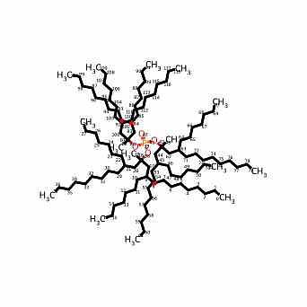 CCCCCCCCCC(CCCCCCC)CC(C)(CC(CCCCCCC)CCCCCCCCC)OP(=O)(OC(C)(CC(CCCCCCC)CCCCCCCCC)CC(CCCCCCC)CCCCCCCCC)OC(C)(CC(CCCCCCC)CCCCCCCCC)CC(CCCCCCC)CCCCCCCCC